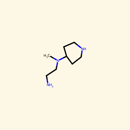 CN(CCN)C1CCNCC1